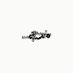 CNc1nc(Nc2cccc(F)c2)ncc1C#CCCCNC(=O)[C@@H]1C[C@H](OC)CN1C(=O)OC(C)(C)C